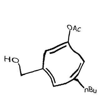 CCCCc1cc(CO)cc(OC(C)=O)c1